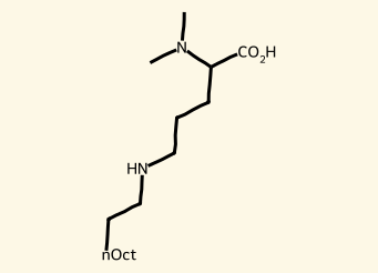 CCCCCCCCCCNCCCC(C(=O)O)N(C)C